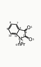 CCCN1C(=O)C(=O)c2ccccc21